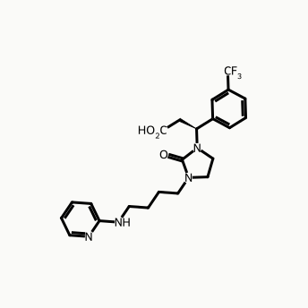 O=C(O)C[C@@H](c1cccc(C(F)(F)F)c1)N1CCN(CCCCNc2ccccn2)C1=O